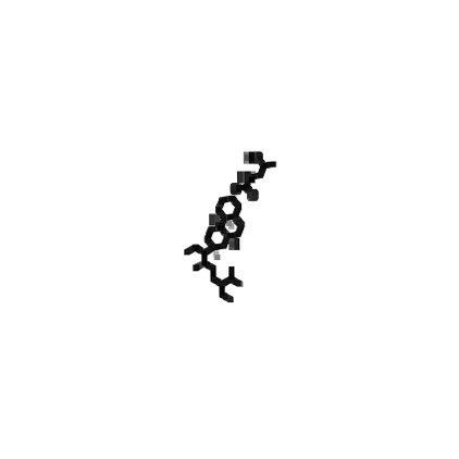 CCC(CC[C@@H](C)[C@@H](CC)[C@@]1(C)CC[C@H]2[C@@H](CC=C3C[C@@H](OC(=O)NCC(C)O)CC[C@@]32C)C1)C(C)C